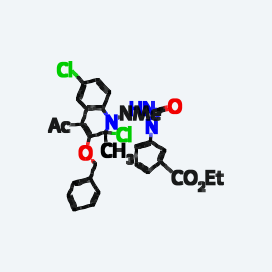 CCOC(=O)c1cccc(N2NC2=O)c1.CNN1c2ccc(Cl)cc2C(C(C)=O)=C(OCc2ccccc2)C1(C)Cl